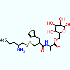 CSCCC(N)CSSCC(Cc1ccsc1)C(=O)NC(C)C(=O)OCC1OC(O)C(O)C(O)C1O